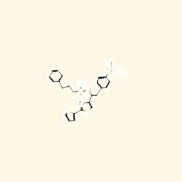 O=S(=O)(O)Nc1ccc(CC(NS(=O)(=O)CCCc2ccccc2)c2csc(-c3cccs3)n2)cc1